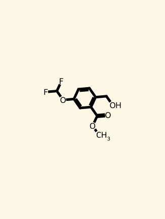 COC(=O)c1cc(OC(F)F)ccc1CO